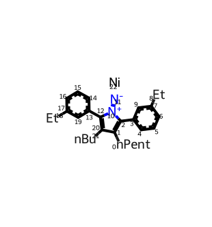 CCCCCC1=C(c2cccc(CC)c2)[N+](=[N-])C(c2cccc(CC)c2)=C1CCCC.[Ni]